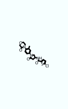 Cc1cc(N2CC(NC(=O)c3ccc(Cl)s3)CC2=O)ccc1N1CCOCC1=O